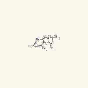 NC1=C\C=C\c2nc3nc(N)nc(N)c3nc2/C(N)=N\1